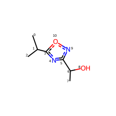 CC(C)c1nc(C(C)O)no1